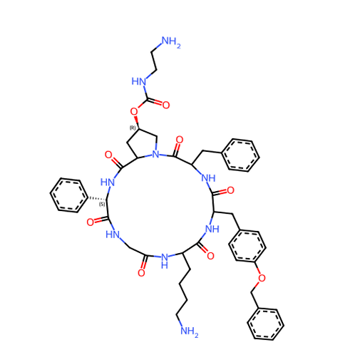 NCCCCC1NC(=O)CNC(=O)[C@H](c2ccccc2)NC(=O)C2C[C@@H](OC(=O)NCCN)CN2C(=O)C(Cc2ccccc2)NC(=O)C(Cc2ccc(OCc3ccccc3)cc2)NC1=O